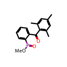 CO[P](=O)c1ccccc1C(=O)c1c(C)cc(C)cc1C